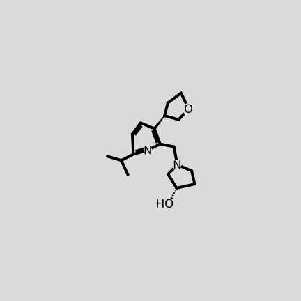 CC(C)c1ccc([C@H]2CCOC2)c(CN2CC[C@H](O)C2)n1